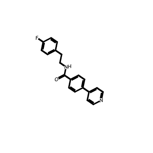 O=C(NCCc1ccc(F)cc1)c1ccc(-c2ccncc2)cc1